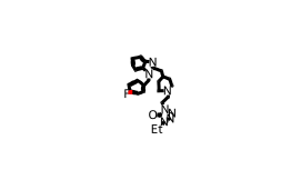 CCn1nnn(CCN2CCC(Cc3nc4ccccc4n3Cc3ccc(F)cc3)CC2)c1=O